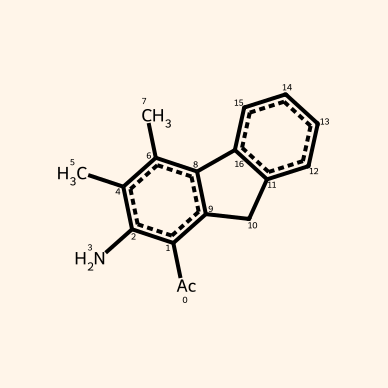 CC(=O)c1c(N)c(C)c(C)c2c1Cc1ccccc1-2